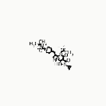 CC(C)Cn1c(=O)c(C(=O)NC2CC2)c(O)n2ncc(C=C3CCN(C(=O)OC(C)(C)C)CC3)c12